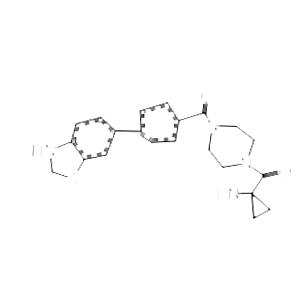 NC1(C(=O)N2CCN(C(=O)c3ccc(-c4ccc5c(c4)SCN5)cc3)CC2)CC1